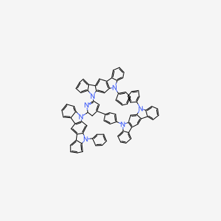 C1=C(c2ccc(-n3c4ccccc4c4cc5c6ccccc6n(-c6ccccc6)c5cc43)cc2)CC(n2c3ccccc3c3cc4c5ccccc5n(-c5ccccc5)c4cc32)N=C1n1c2ccccc2c2cc3c4ccccc4n(-c4ccccc4)c3cc21